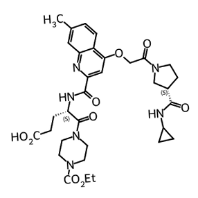 CCOC(=O)N1CCN(C(=O)[C@H](CCC(=O)O)NC(=O)c2cc(OCC(=O)N3CC[C@H](C(=O)NC4CC4)C3)c3ccc(C)cc3n2)CC1